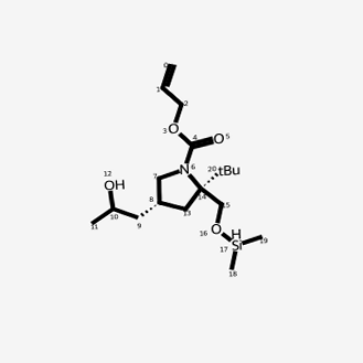 C=CCOC(=O)N1C[C@@H](CC(C)O)C[C@@]1(CO[SiH](C)C)C(C)(C)C